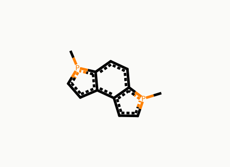 Cp1ccc2c3ccp(C)c3ccc21